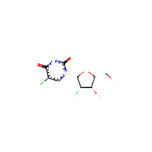 O=c1[nH]c(=O)n([C@@H]2O[C@H](CO)[C@@H](O)[C@H]2F)cc1Cl